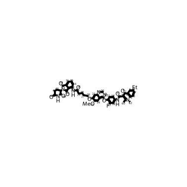 CCc1ccc2c(c1)c(=O)c(C(=O)Nc1ccc(Oc3ncnc4cc(OCCCCC(=O)Nc5cccc6c5C(=O)N(C5CCC(=O)NC5=O)C6=O)c(OC)cc34)c(F)c1)c(C)n2C